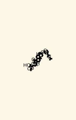 CC(=O)O[C@@H](C1C[C@@H](C)[C@H]2C(O1)C(=O)[C@@]1(C)C3CC[C@H]4C(C)(C)[C@@H](O[C@H]5CN(C6CN(C(C)C)C6)CCO5)CC[C@@]45CC35CC[C@]21C)C(C)(C)O